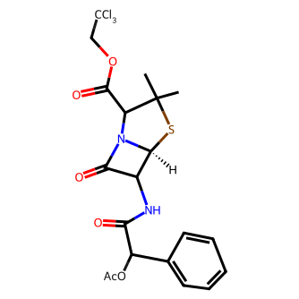 CC(=O)OC(C(=O)NC1C(=O)N2C(C(=O)OCC(Cl)(Cl)Cl)C(C)(C)S[C@@H]12)c1ccccc1